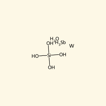 O.O[Si](O)(O)O.[SbH3].[W]